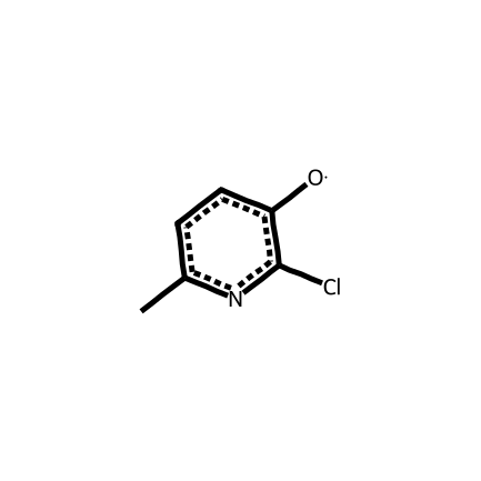 Cc1ccc([O])c(Cl)n1